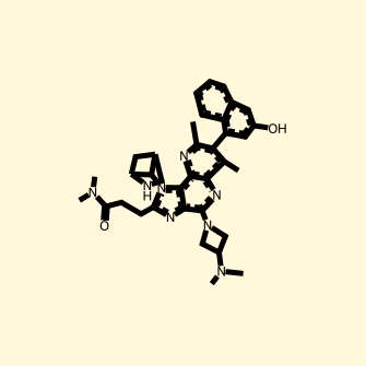 Cc1nc2c(nc(N3CC(N(C)C)C3)c3nc(CCC(=O)N(C)C)n(C4C5CNC4C5)c32)c(C)c1-c1cc(O)cc2ccccc12